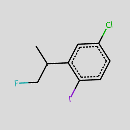 C[C](CF)c1cc(Cl)ccc1I